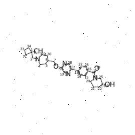 CC1(CN2CCC(COc3cnc(-c4ccc(C(=O)N5CCC[C@@H](O)C5)cc4)cn3)CC2)CCC1